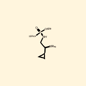 CCCCCCP(=O)(NCC(NC)C1CC1)OC